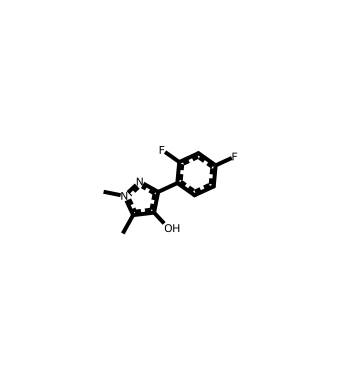 Cc1c(O)c(-c2ccc(F)cc2F)nn1C